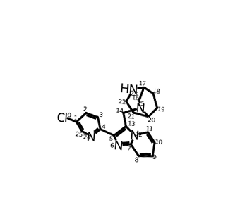 Clc1ccc(-c2nc3ccccn3c2CN2CC3CCC2CCN3)nc1